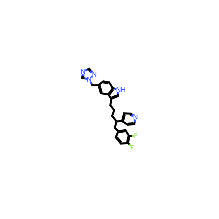 Fc1ccc(CC(CCCc2c[nH]c3ccc(Cn4cncn4)cc23)c2ccncc2)cc1F